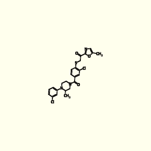 Cc1cnc(C(=O)CSc2ccc(C(=O)N3CCN(c4cccc(Cl)c4)C(C)C3)cc2Cl)o1